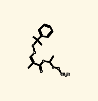 CCOC(=O)OOC(C)OC(=O)C(C)=COOC(C)(C)c1ccccc1